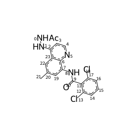 CC(=O)NNc1ccnc2c(NC(=O)c3c(Cl)cccc3Cl)cc(C)cc12